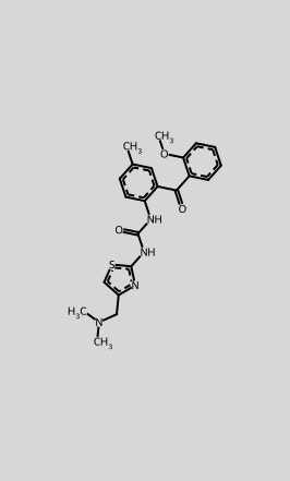 COc1ccccc1C(=O)c1cc(C)ccc1NC(=O)Nc1nc(CN(C)C)cs1